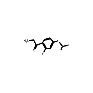 NCC(=O)c1ccc(OC(F)F)cc1F